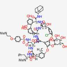 CNCCOc1ccc(S(=O)(=O)NC(=O)C[C@@H]2NC(=O)[C@H](NC(=O)[C@@H](CC(C)C)NC)[C@H](O)c3ccc(c(C)c3)Oc3cc4cc(c3O[C@@H]3C[C@H](CO)[C@@H](O)[C@H](O)[C@H]3O)Oc3ccc(cc3Cl)[C@@H](O)[C@@H]3NC(=O)[C@H](NC(=O)[C@@H]4NC2=O)c2ccc(O)c(c2)-c2c(O)cc(O)cc2[C@@H](C(=O)NC2C4CC5CC(C4)CC2C5)NC3=O)cc1